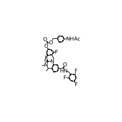 CC(=O)Nc1ccc(COC(=O)Oc2cc(F)c(CN3C(=O)N(C)C(C)c4ccc(C(=O)NCc5c(F)cc(F)cc5F)cc43)c(F)c2)cc1